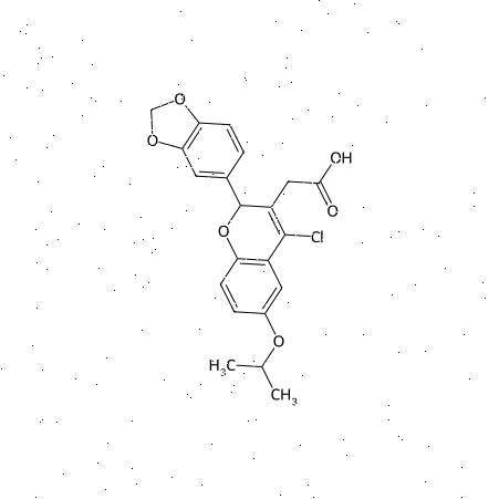 CC(C)Oc1ccc2c(c1)C(Cl)=C(CC(=O)O)C(c1ccc3c(c1)OCO3)O2